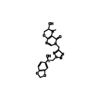 CN1c2c(ncn(Cc3nnn(C[C@H](O)c4ccc5c(c4)OCO5)n3)c2=O)OCC1O